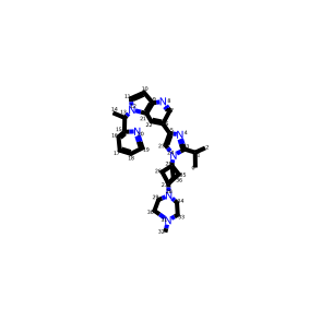 CC(C)c1nc(-c2cnc3ccn(C(C)c4ccccn4)c3c2)cn1C12CC(N3CCN(C)CC3)(C1)C2